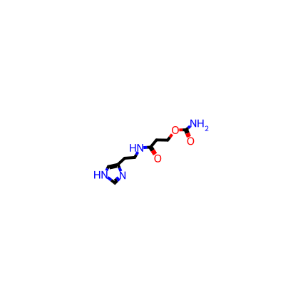 NC(=O)OCCC(=O)NCCc1c[nH]cn1